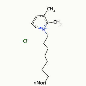 CCCCCCCCCCCCCCCC[n+]1cccc(C)c1C.[Cl-]